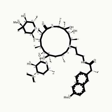 COc1ccc2cc([C@@H](C)C(=O)NCCCN3C[C@H](C)C[C@@](C)(O)[C@H](O[C@@H]4O[C@H](C)C[C@H](N(C)C)[C@H]4O)[C@@H](C)[C@H](O[C@H]4C[C@@](C)(OC)[C@@H](O)[C@H](C)O4)[C@@H](C)C(=O)O[C@H](I)[C@@](C)(O)[C@H](O)[C@H]3C)ccc2c1